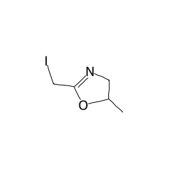 CC1CN=C(CI)O1